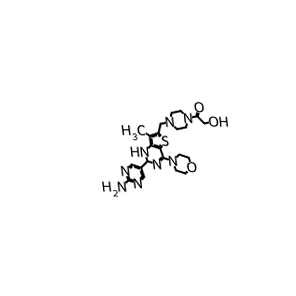 Cc1c(CN2CCN(C(=O)CO)CC2)sc2c1NC(c1cnc(N)nc1)N=C2N1CCOCC1